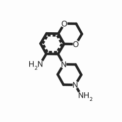 Nc1ccc2c(c1N1CCN(N)CC1)OCCO2